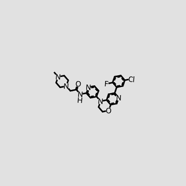 CN1CCN(CC(=O)Nc2cc(N3CCOc4cnc(-c5cc(Cl)ccc5F)cc43)ccn2)CC1